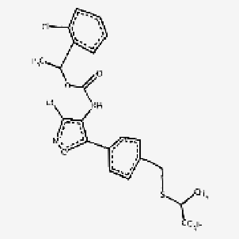 CCc1noc(-c2ccc(CSC(C)C(=O)O)cc2)c1NC(=O)OC(C)c1ccccc1Cl